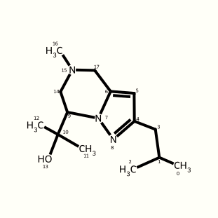 CC(C)Cc1cc2n(n1)C(C(C)(C)O)CN(C)C2